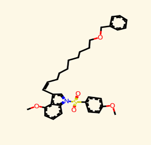 COc1ccc(S(=O)(=O)n2cc(/C=C\CCCCCCCCOCc3ccccc3)c3c(OC)cccc32)cc1